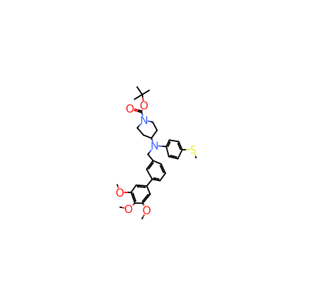 COc1cc(-c2cccc(CN(c3ccc(SC)cc3)C3CCN(C(=O)OC(C)(C)C)CC3)c2)cc(OC)c1OC